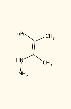 CCC/C(C)=C(/C)NN